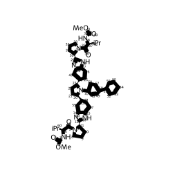 COC(=O)N[C@H](C(=O)N1CCC[C@H]1c1nc2c([nH]1)=CCC([C@H]1CC[C@H](c3ccc4[nH]c([C@@H]5CCCN5C(=O)[C@@H](NC(=O)OC)C(C)C)nc4c3)N1c1ccc(-c3ccccc3)cc1)C=2)C(C)C